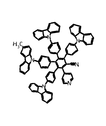 Cc1ccc2c(c1)c1ccccc1n2-c1ccc(-c2c(-c3ccc(-n4c5ccccc5c5ccccc54)cc3)c(-c3ccncc3)c(C#N)c(-c3ccc(-n4c5ccccc5c5ccccc54)cc3)c2-c2ccc(-n3c4ccccc4c4ccccc43)cc2)cc1